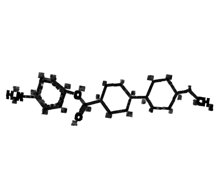 CCC1CCC(C2CCC(C(=O)Oc3ccc(N)cc3)CC2)CC1